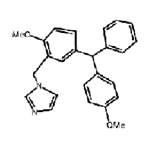 COc1ccc([C](c2ccccc2)c2ccc(OC)c(Cn3ccnc3)c2)cc1